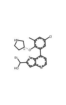 CCC(O)c1cc2nccc(-c3cc(Cl)cc(C)c3O[C@@H]3CCNC3)c2s1